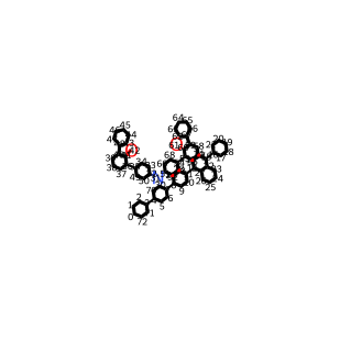 c1ccc(-c2ccc(-c3ccc(-c4ccc(-c5ccccc5)c5ccccc45)cc3)c(N(c3ccc(-c4cccc5c4oc4ccccc45)cc3)c3ccc(-c4cccc5c4oc4ccccc45)cc3)c2)cc1